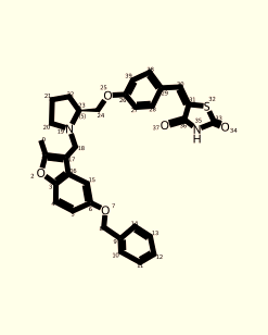 Cc1oc2ccc(OCc3ccccc3)cc2c1CN1CCC[C@H]1COc1ccc(C=C2SC(=O)NC2=O)cc1